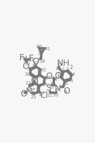 NCc1cccc(C(=O)N2CCSC2C(=O)OC(Cc2c(Cl)c[n+]([O-])cc2Cl)c2ccc(OC(F)F)c(OCC3CC3)c2)c1